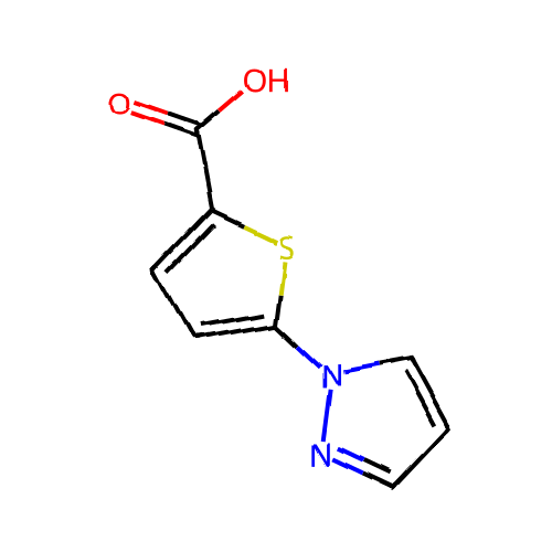 O=C(O)c1ccc(-n2cccn2)s1